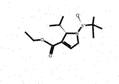 CCOC(=O)C1=CCN([S@+]([O-])C(C)(C)C)[C@H]1C(C)C